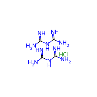 Cl.N=C(N)NC(=N)N.N=C(N)NC(=N)N